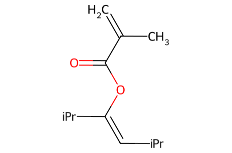 C=C(C)C(=O)OC(=CC(C)C)C(C)C